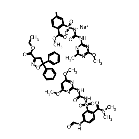 CCOC(=O)C1=NOC(c2ccccc2)(c2ccccc2)C1.COC(=O)c1ccc(I)cc1S(=O)(=O)[N-]C(=O)Nc1nc(C)nc(OC)n1.COc1cc(OC)nc(NC(=O)NS(=O)(=O)c2cc(NC=O)ccc2C(=O)N(C)C)n1.[Na+]